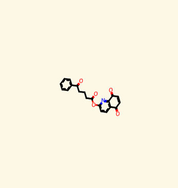 O=C(CCCC(=O)c1ccccc1)Oc1ccc2c(n1)C(=O)C=CC2=O